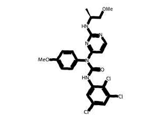 COC[C@H](C)Nc1nccc(N(C(=O)Nc2cc(Cl)cc(Cl)c2Cl)c2ccc(OC)cc2)n1